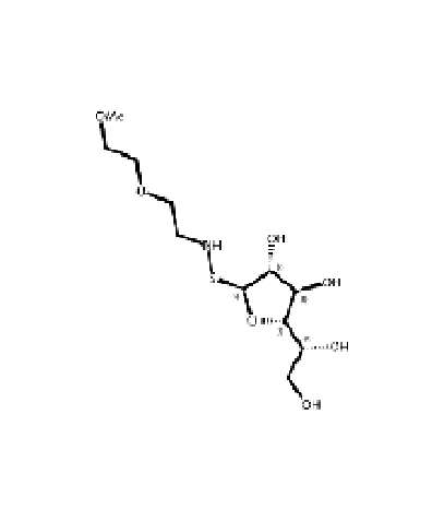 COCCOCCNS[C@@H]1O[C@@H]([C@H](O)CO)[C@H](O)[C@H]1O